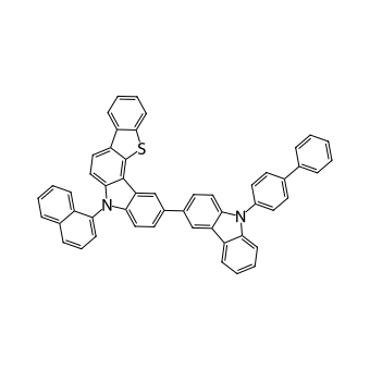 c1ccc(-c2ccc(-n3c4ccccc4c4cc(-c5ccc6c(c5)c5c7sc8ccccc8c7ccc5n6-c5cccc6ccccc56)ccc43)cc2)cc1